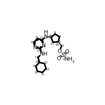 NS(=O)(=O)OC[C@@H]1CC[C@H](Nc2ccnc(NCC3CCCCC3)n2)C1